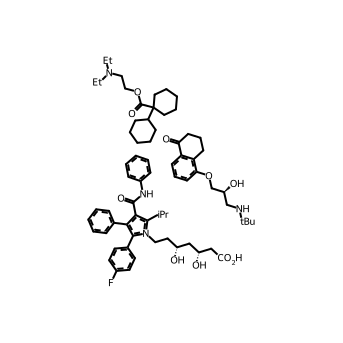 CC(C)(C)NC[C@H](O)COc1cccc2c1CCCC2=O.CC(C)c1c(C(=O)Nc2ccccc2)c(-c2ccccc2)c(-c2ccc(F)cc2)n1CC[C@@H](O)C[C@@H](O)CC(=O)O.CCN(CC)CCOC(=O)C1(C2CCCCC2)CCCCC1